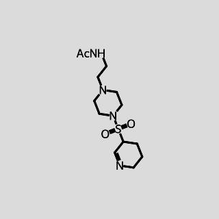 CC(=O)NCCN1CCN(S(=O)(=O)C2C=NCCC2)CC1